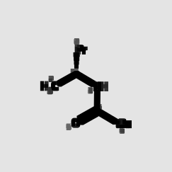 CC(C)[C@@H](C)NC(=O)C(C)(C)C